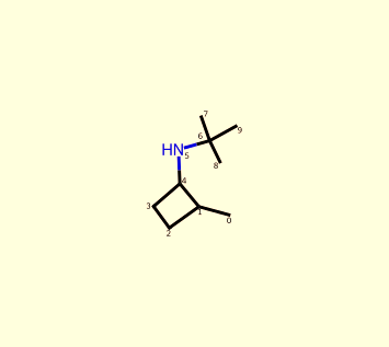 CC1CCC1NC(C)(C)C